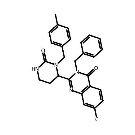 Cc1ccc(CN2C(=O)NCCC2c2nc3cc(Cl)ccc3c(=O)n2Cc2ccccc2)cc1